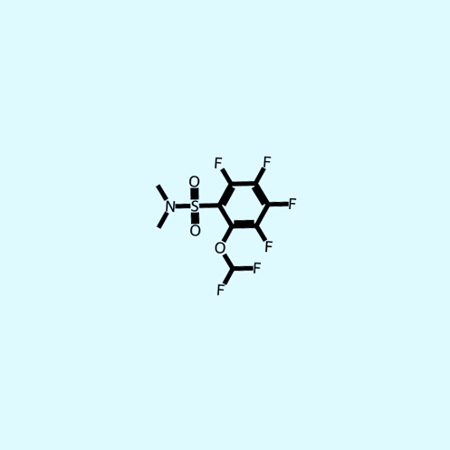 CN(C)S(=O)(=O)c1c(F)c(F)c(F)c(F)c1OC(F)F